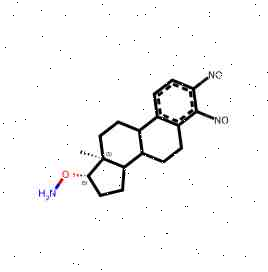 C[C@]12CCC3c4ccc(N=O)c(N=O)c4CCC3C1CC[C@@H]2ON